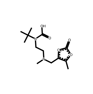 Cc1oc(=O)oc1CN(C)CCN(C(=O)O)C(C)(C)C